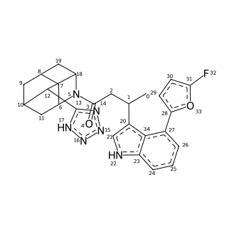 CC(CC(=O)N1C2CC3CC(C2)C(c2nnn[nH]2)C1C3)c1c[nH]c2cccc(-c3ccc(F)o3)c12